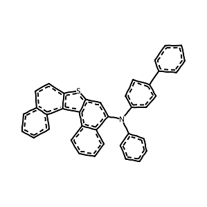 c1ccc(-c2ccc(N(c3ccccc3)c3cc4sc5ccc6ccccc6c5c4c4ccccc34)cc2)cc1